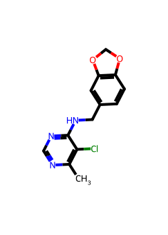 Cc1ncnc(NCc2ccc3c(c2)OCO3)c1Cl